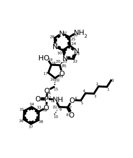 CCCCCCOC(=O)[C@H](C)NP(=O)(OC[C@@H]1CC(O)[C@H](n2cnc3c(N)ncnc32)O1)Oc1ccccc1